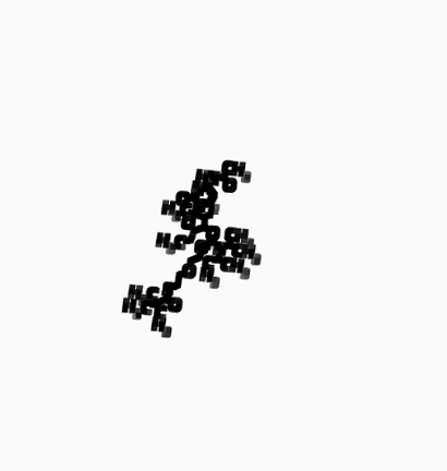 CC[C@H]1O[C@](C)(n2ccc(NC(C)=O)nc2=O)[C@@H](F)C1OP(OCCOCCSC(=O)C(C)(C)C)N(C(C)C)C(C)C